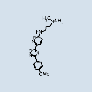 COc1ccc(-c2noc(-c3ccc(NCCCN(C)C)nn3)n2)cc1